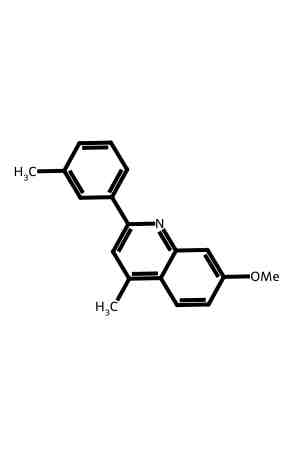 COc1ccc2c(C)cc(-c3cccc(C)c3)nc2c1